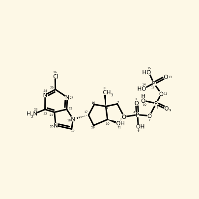 C[C@]1(COP(=O)(O)OP(=O)(O)OP(=O)(O)O)C[C@@H](n2cnc3c(N)nc(Cl)nc32)C[C@@H]1O